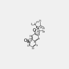 CC(C)[Si](Oc1ccc2ccc[n+]([O-])c2c1)(C(C)C)C(C)C